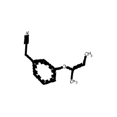 C/C=C(/C)Oc1cccc([CH]C#N)c1